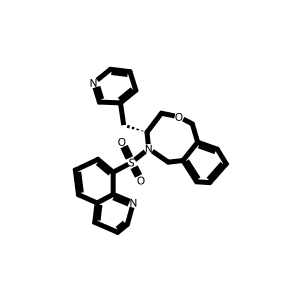 O=S(=O)(c1cccc2cccnc12)N1Cc2ccccc2COC[C@H]1Cc1cccnc1